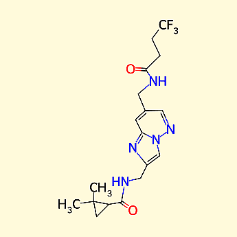 CC1(C)CC1C(=O)NCc1cn2ncc(CNC(=O)CCC(F)(F)F)cc2n1